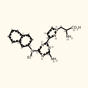 CCN(c1ccc2ccccc2c1)c1nc(N)nc(-c2ccn(CC(N)C(=O)O)n2)n1